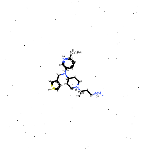 CC(=O)Nc1ccc(N(Cc2ccsc2)C2CCN([C@H](C)CCN)CC2)cn1